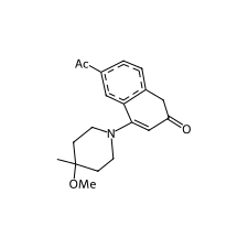 COC1(C)CCN(C2=CC(=O)Cc3ccc(C(C)=O)cc32)CC1